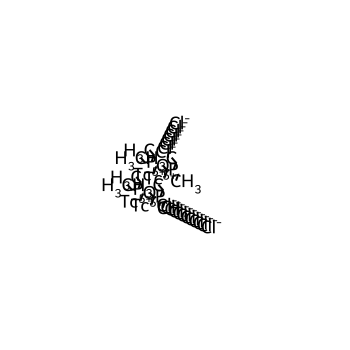 CCP(CC)C([CH2][Tc+5])OC([CH2][Tc+5])P(CC)CC.CCP(CC)C([CH2][Tc+5])OC([CH2][Tc+5])P(CC)CC.[Cl-].[Cl-].[Cl-].[Cl-].[Cl-].[Cl-].[Cl-].[Cl-].[Cl-].[Cl-].[Cl-].[Cl-].[Cl-].[Cl-].[Cl-].[Cl-].[Cl-].[Cl-].[Cl-].[Cl-]